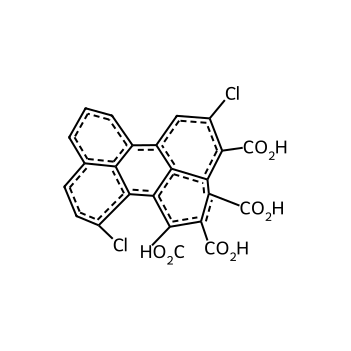 O=C(O)c1c(C(=O)O)c2c(C(=O)O)c(Cl)cc3c4cccc5ccc(Cl)c(c(c1C(=O)O)c23)c54